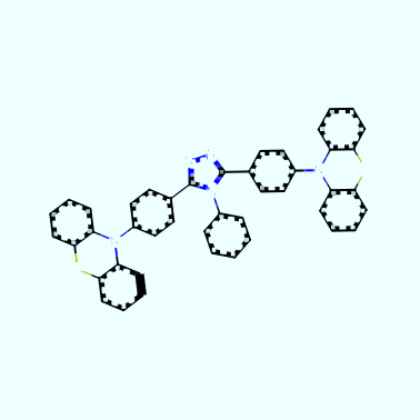 c1ccc2c(c#1)N(c1ccc(-c3nnc(-c4ccc(N5c6ccccc6Sc6ccccc65)cc4)n3-c3ccccc3)cc1)c1ccccc1S2